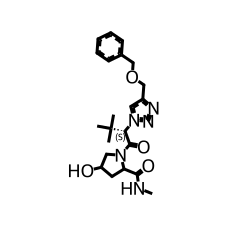 CNC(=O)C1CC(O)CN1C(=O)[C@@H](n1cc(COCc2ccccc2)nn1)C(C)(C)C